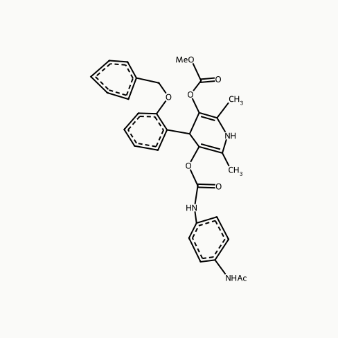 COC(=O)OC1=C(C)NC(C)=C(OC(=O)Nc2ccc(NC(C)=O)cc2)C1c1ccccc1OCc1ccccc1